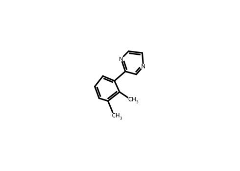 Cc1cccc(-c2cnccn2)c1C